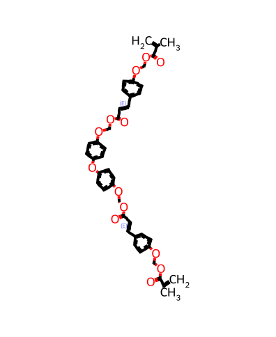 C=C(C)C(=O)OCOc1ccc(/C=C/C(=O)OCOc2ccc(Oc3ccc(OCOC(=O)/C=C/c4ccc(OCOC(=O)C(=C)C)cc4)cc3)cc2)cc1